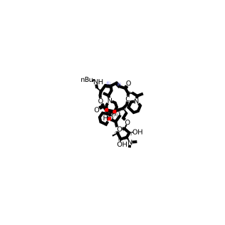 CCCCNC[C@H]1/C=C(CC(C)N2CCCCC2)/C=C/C(=O)[C@@H](CC(C)N2CCCCC2)CC[C@@H](CCO[C@@H]2O[C@H](C)[C@@H](O)[C@H](N(C)C)[C@H]2O)[C@H](CC(C)N2CCCCC2)[C@H](O)CC(=O)OC1